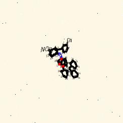 N#Cc1ccc2c(c1)c1cc(C#N)ccc1n2-c1ccc(-c2ccccc2[Si](c2ccccc2)(c2ccccc2)c2ccccc2)cc1